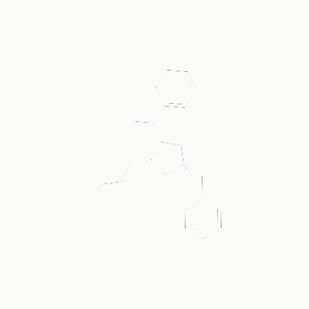 CCN(c1ccccc1)[C@@H]1CN(Cc2ccccc2)C[C@@H]1CCCCl